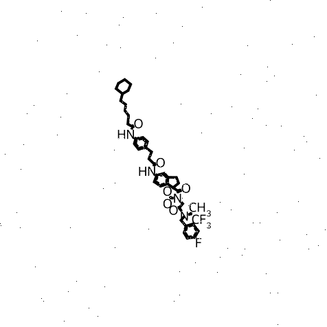 C[C@H](N(Cc1ccc(F)cc1)C(=O)CN1C(=O)OC2(CCc3cc(NC(=O)CCc4ccc(NC(=O)CCCCCC5CCCCC5)cc4)ccc32)C1=O)C(F)(F)F